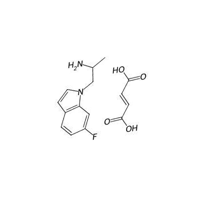 CC(N)Cn1ccc2ccc(F)cc21.O=C(O)C=CC(=O)O